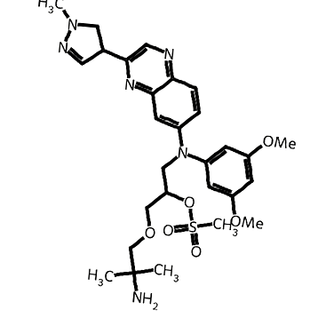 COc1cc(OC)cc(N(CC(COCC(C)(C)N)OS(C)(=O)=O)c2ccc3ncc(C4C=NN(C)C4)nc3c2)c1